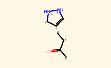 C1=CNNC1.CCC(C)=O